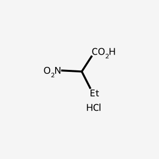 CCC(C(=O)O)[N+](=O)[O-].Cl